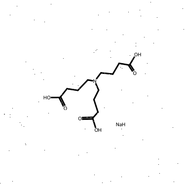 O=C(O)CCCN(CCCC(=O)O)CCCC(=O)O.[NaH]